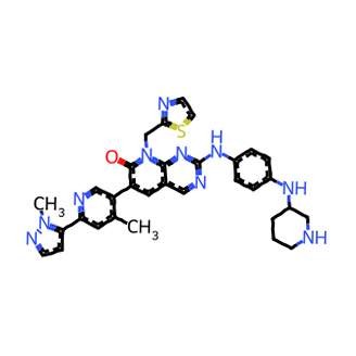 Cc1cc(-c2ccnn2C)ncc1-c1cc2cnc(Nc3ccc(NC4CCCNC4)cc3)nc2n(Cc2nccs2)c1=O